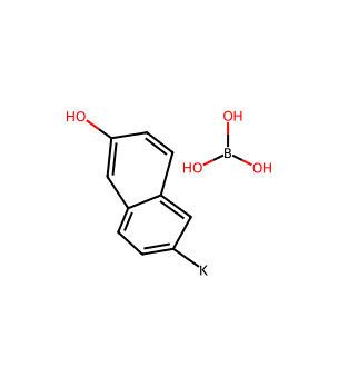 OB(O)O.Oc1ccc2c[c]([K])ccc2c1